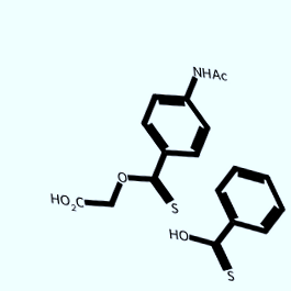 CC(=O)Nc1ccc(C(=S)OCC(=O)O)cc1.OC(=S)c1ccccc1